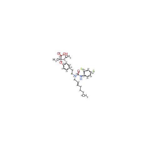 CCCCC=CCN(CCc1ccc(OC(C)(CC)C(=O)O)cc1)C(=O)Nc1ccc(F)cc1F